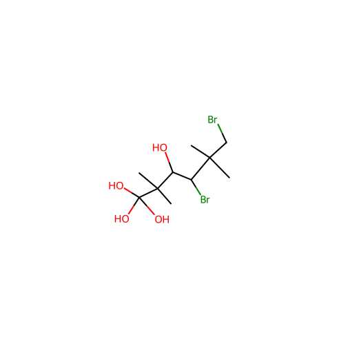 CC(C)(CBr)C(Br)C(O)C(C)(C)C(O)(O)O